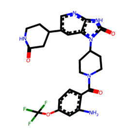 Nc1cc(OC(F)(F)F)ccc1C(=O)N1CCC(n2c(=O)[nH]c3ncc(C4CCNC(=O)C4)cc32)CC1